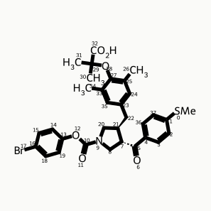 CSc1ccc(C(=O)[C@@H]2CN(C(=O)Oc3ccc(Br)cc3)C[C@H]2Cc2cc(C)c(OC(C)(C)C(=O)O)c(C)c2)cc1